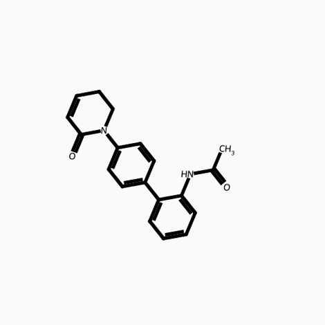 CC(=O)Nc1ccccc1-c1ccc(N2CCC=CC2=O)cc1